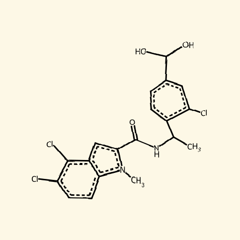 CC(NC(=O)c1cc2c(Cl)c(Cl)ccc2n1C)c1ccc(C(O)O)cc1Cl